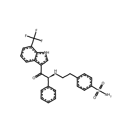 NS(=O)(=O)c1ccc(CCN[C@H](C(=O)c2c[nH]c3c(C(F)(F)F)cccc23)c2ccccc2)cc1